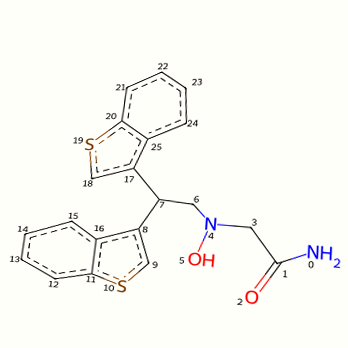 NC(=O)CN(O)CC(c1csc2ccccc12)c1csc2ccccc12